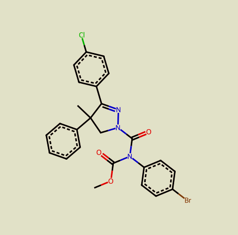 COC(=O)N(C(=O)N1CC(C)(c2ccccc2)C(c2ccc(Cl)cc2)=N1)c1ccc(Br)cc1